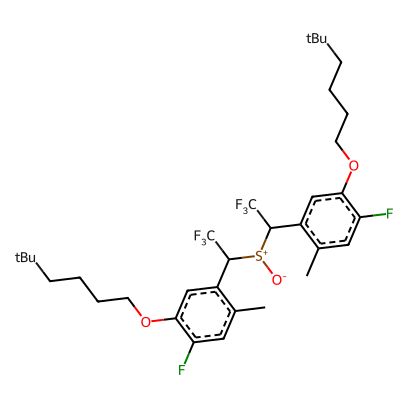 Cc1cc(F)c(OCCCCC(C)(C)C)cc1C([S+]([O-])C(c1cc(OCCCCC(C)(C)C)c(F)cc1C)C(F)(F)F)C(F)(F)F